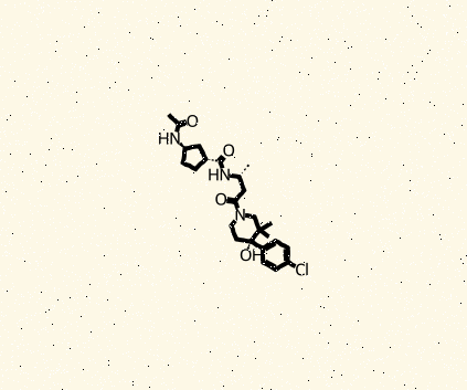 CC(=O)N[C@@H]1CC[C@@H](C(=O)N[C@H](C)CC(=O)N2CC[C@](O)(c3ccc(Cl)cc3)C(C)(C)C2)C1